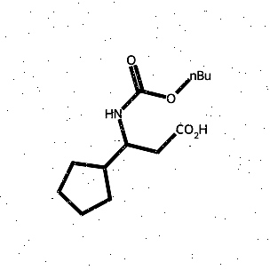 CCCCOC(=O)NC(CC(=O)O)C1CCCC1